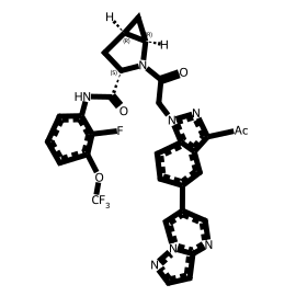 CC(=O)c1nn(CC(=O)N2[C@@H]3C[C@@H]3C[C@H]2C(=O)Nc2cccc(OC(F)(F)F)c2F)c2ccc(-c3cnc4ccnn4c3)cc12